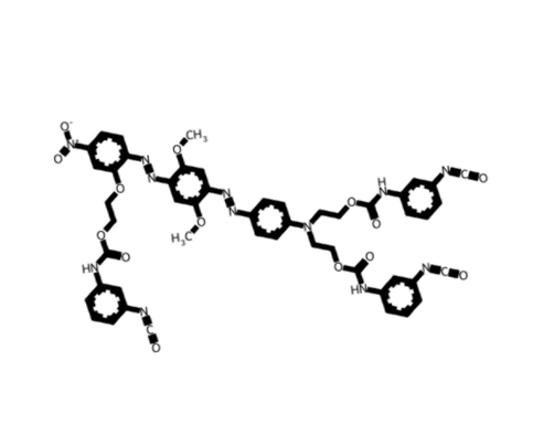 COc1cc(/N=N/c2ccc([N+](=O)[O-])cc2OCCOC(=O)Nc2cccc(N=C=O)c2)c(OC)cc1/N=N/c1ccc(N(CCOC(=O)Nc2cccc(N=C=O)c2)CCOC(=O)Nc2cccc(N=C=O)c2)cc1